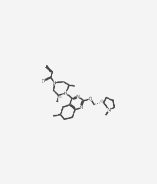 C=CC(=O)N1CC(C)N(c2nc(OC[C@@H]3CCCN3C)nc3c2CC(C)CC3)[C@@H](C)C1